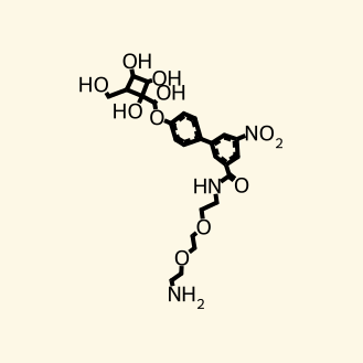 NCCOCCOCCNC(=O)c1cc(-c2ccc(OC(O)C3(O)C(O)C(O)C3CO)cc2)cc([N+](=O)[O-])c1